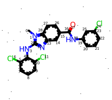 Cn1c(Nc2c(Cl)cccc2Cl)nc2cc(C(=O)Nc3cccc(Cl)c3)ccc21